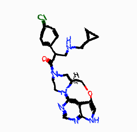 O=C(C(CNCC1CC1)c1ccc(Cl)cc1)N1CCN2c3ncnc4[nH]cc(c34)OC[C@@H]2C1